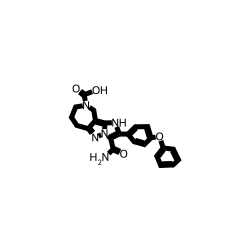 NC(=O)c1c(-c2ccc(Oc3ccccc3)cc2)[nH]c2c3c(nn12)CCCN(C(=O)O)C3